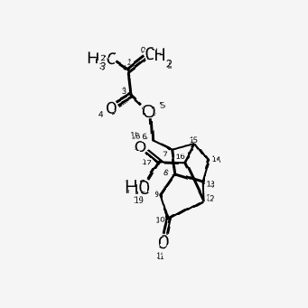 C=C(C)C(=O)OCC1C2CC(=O)C3C2CC1C3C(=O)O